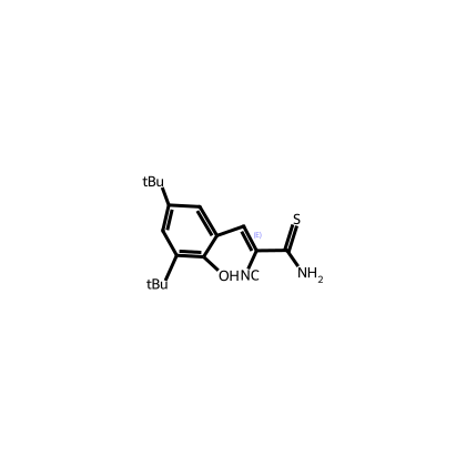 CC(C)(C)c1cc(/C=C(\C#N)C(N)=S)c(O)c(C(C)(C)C)c1